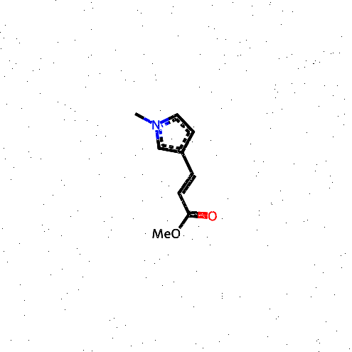 COC(=O)C=Cc1ccn(C)c1